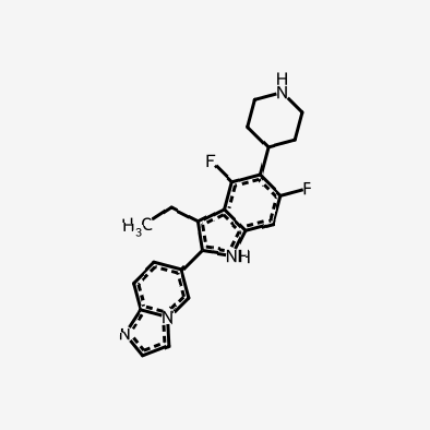 CCc1c(-c2ccc3nccn3c2)[nH]c2cc(F)c(C3CCNCC3)c(F)c12